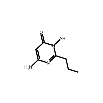 CCCc1nc(N)cc(=O)n1S